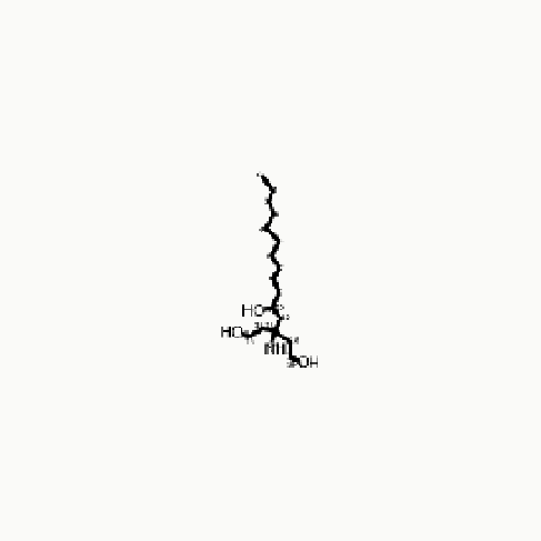 CCCCCCCCCCC(O)CC(N)(CCO)CCO